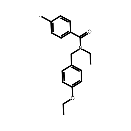 [CH2]c1ccc(C(=O)N(CC)Cc2ccc(OCC)cc2)cc1